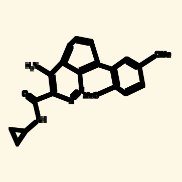 COc1ccc(OC)c(-c2cccc3c(N)c(C(=O)NC4CC4)nnc23)c1